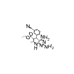 CCOC(=O)C1=C(C)Nc2nc(N)nc(N)c2C1c1cccc(C#N)c1